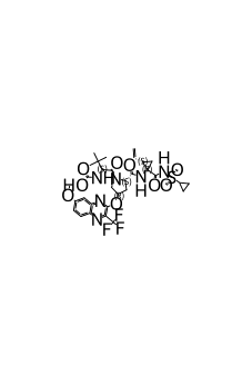 C=C[C@@H]1C[C@]1(NC(=O)[C@@H]1C[C@@H](Oc2nc3cc(OC)ccc3nc2C(F)(F)F)CN1C(=O)[C@@H](NC(=O)O)C(C)(C)C)C(=O)NS(=O)(=O)C1CC1